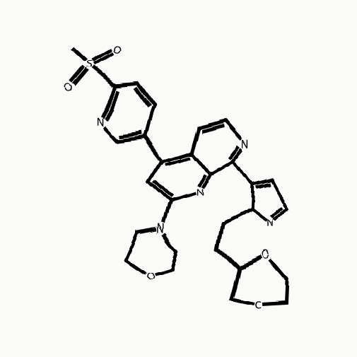 CS(=O)(=O)c1ccc(-c2cc(N3CCOCC3)nc3c(C4=CC=NC4CCC4CCCCO4)nccc23)cn1